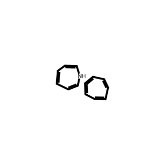 C1=CC=CC=CC=1.C1=CC=CNC=C1